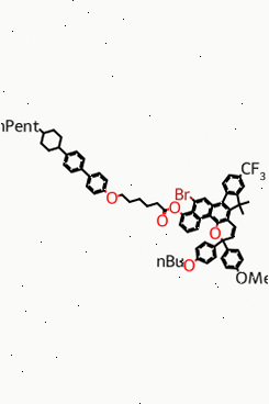 CCCCCC1CCC(c2ccc(-c3ccc(OCCCCCC(=O)Oc4cccc5c4c(Br)cc4c6c(c7c(c45)OC(c4ccc(OC)cc4)(c4ccc(OCCCC)cc4)C=C7)C(C)(C)c4cc(C(F)(F)F)ccc4-6)cc3)cc2)CC1